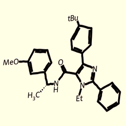 CCn1c(-c2ccccc2)nc(-c2ccc(C(C)(C)C)cc2)c1C(=O)N[C@H](C)c1cccc(OC)c1